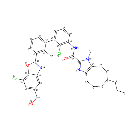 CCCC1CCCc2nc(C(=O)Nc3cccc(-c4cccc(-c5nc6cc(CO)cc(Cl)c6o5)c4C)c3Cl)n(C)c2CC1